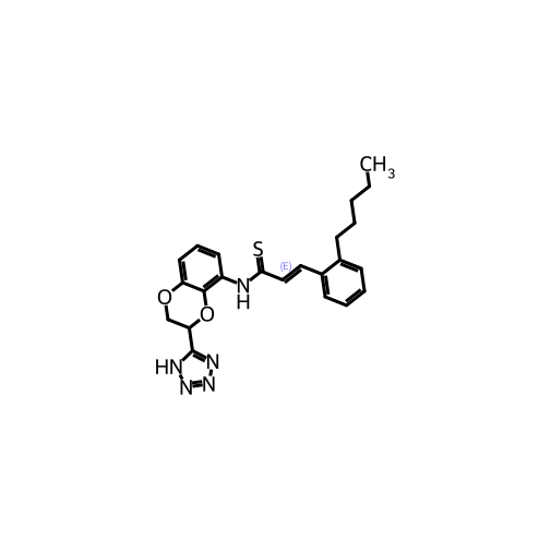 CCCCCc1ccccc1/C=C/C(=S)Nc1cccc2c1OC(c1nnn[nH]1)CO2